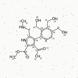 CNCc1[nH]c(C(=O)OC)c(C(C)=O)c1-c1ccc(CO)c(CO)c1CO